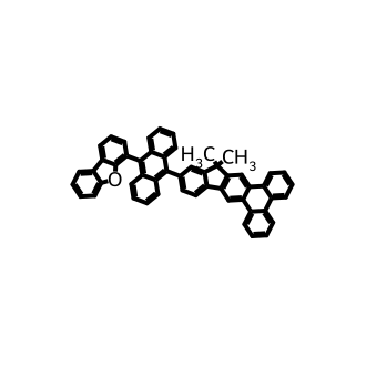 CC1(C)c2cc(-c3c4ccccc4c(-c4cccc5c4oc4ccccc45)c4ccccc34)ccc2-c2cc3c4ccccc4c4ccccc4c3cc21